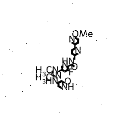 COc1ccc(-c2ccc(CNC(=O)c3ncc(-c4nc(C)c(C)c(Nc5cc[nH]c(=O)c5)n4)cc3F)cn2)cn1